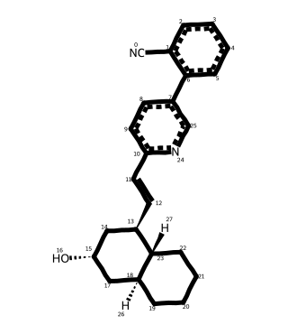 N#Cc1ccccc1-c1ccc(/C=C/[C@@H]2C[C@@H](O)C[C@@H]3CCCC[C@H]32)nc1